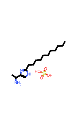 CCCCCCCCCCCc1nc(C(C)N)c[nH]1.O=S(=O)(O)O